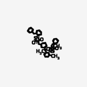 Cc1cccc(C(C)(C)c2cccc(Cn3c(=O)sn(-c4ccccc4Cc4ccccc4)c3=O)c2)c1N1CN(CC2(C)C=CC=CC2)C(=O)S1